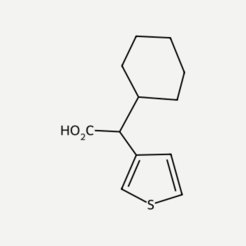 O=C(O)C(c1ccsc1)C1CCCCC1